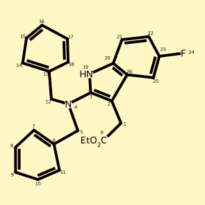 CCOC(=O)Cc1c(N(Cc2ccccc2)Cc2ccccc2)[nH]c2ccc(F)cc12